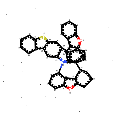 c1ccc2c(c1)oc1cc(-c3cccc4oc5cccc(-n6c7ccccc7c7cc8sc9ccccc9c8cc76)c5c34)ccc12